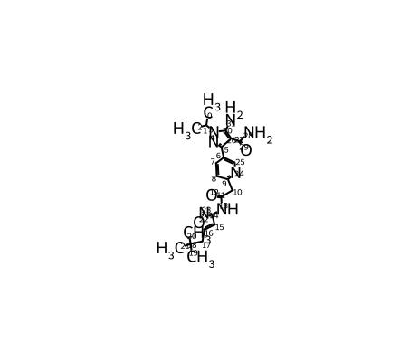 CC(C)n1nc(-c2ccc(CC(=O)Nc3cc(CC(C)(C)C)on3)nc2)c(C(N)=O)c1N